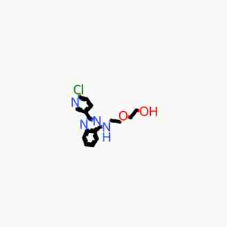 OCCOCCNc1nc(-c2ccc(Cl)nc2)nc2ccccc12